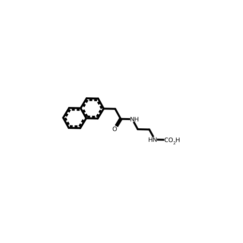 O=C(O)NCCNC(=O)Cc1ccc2ccccc2c1